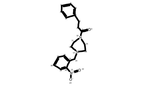 O=C(CCc1ccccc1)N1CCN(Cc2ccccc2[N+](=O)[O-])CC1